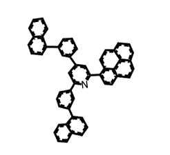 c1cc(-c2cc(-c3cccc(-c4cccc5ccccc45)c3)nc(-c3ccc4ccc5cccc6ccc3c4c56)c2)cc(-c2cccc3ccccc23)c1